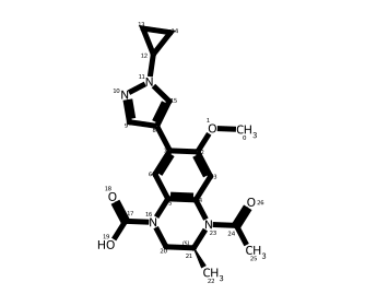 COc1cc2c(cc1-c1cnn(C3CC3)c1)N(C(=O)O)C[C@H](C)N2C(C)=O